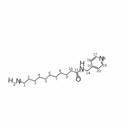 NCCCCCCCCCCC(=O)NCc1ccncc1